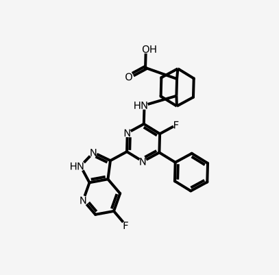 O=C(O)C1C2CCC(CC2)C1Nc1nc(-c2n[nH]c3ncc(F)cc23)nc(-c2ccccc2)c1F